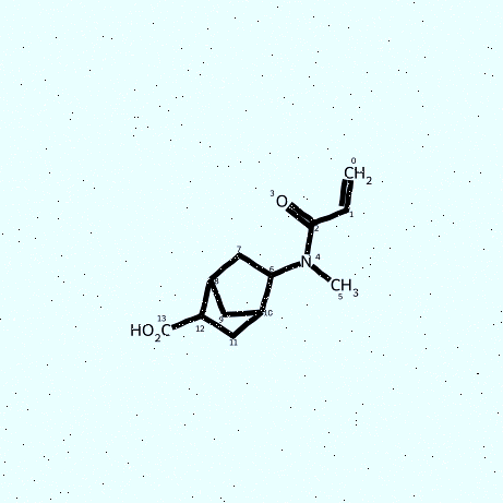 C=CC(=O)N(C)C1CC2CC1CC2C(=O)O